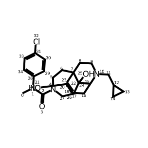 CN(C(=O)N1CCC23CCN(CC4CC4)C(Cc4ccc(O)cc42)C3(O)CC1)c1ccc(Cl)cc1